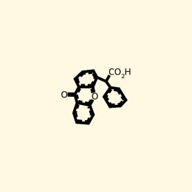 O=C(O)C(c1ccccc1)c1cccc2c(=O)c3ccccc3oc12